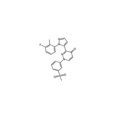 Cc1c(F)cccc1-n1nccc1-c1nn(-c2cccc(S(C)(=O)=O)c2)ccc1=O